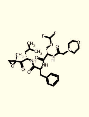 CC(C)C[C@H](NC(=O)[C@H](Cc1ccccc1)NC(=O)[C@H](COC(F)F)NC(=O)CN1CCOCC1)C(=O)[C@@]1(C)CO1